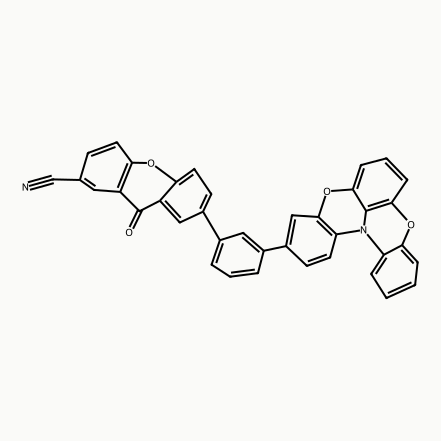 N#Cc1ccc2oc3ccc(-c4cccc(-c5ccc6c(c5)Oc5cccc7c5N6c5ccccc5O7)c4)cc3c(=O)c2c1